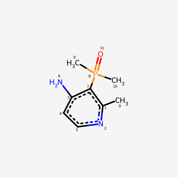 Cc1nccc(N)c1P(C)(C)=O